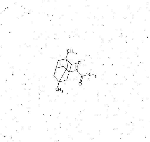 CC(=O)NC12CC3CC(C)(CC(C)(C3)C1Cl)C2